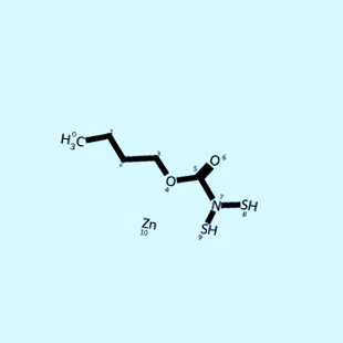 CCCCOC(=O)N(S)S.[Zn]